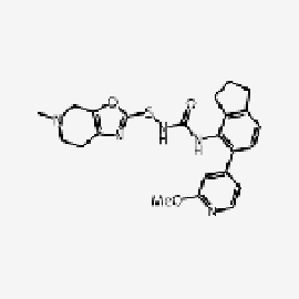 COc1cc(-c2ccc3c(c2NC(=O)NSc2nc4c(o2)CN(C)CC4)CCC3)ccn1